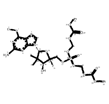 CCOc1nc(N)nc2c1ncn2[C@@H]1O[C@](F)(COP(=O)(OCOC(=O)OC(C)C)OCOC(=O)OC(C)C)[C@@H](O)C1(C)C